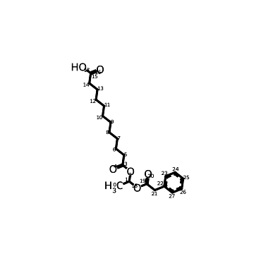 CC(OC(=O)CCCCCCCCCCC(=O)O)OC(=O)Cc1ccccc1